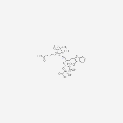 CC1(C)C(=O)[C@H](CCCCC(=O)O)[C@@H](/C=C/C(CCc2sc3ccccc3c2Cl)OC2O[C@H](C(=O)O)[C@@H](O)[C@H](O)[C@H]2O)[C@@H]1O